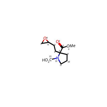 COC(=O)C1(CCC2CO2)CCCN1C(=O)O